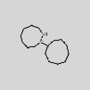 C1CCCC[C]([N+]2CCCCCCCN2)CCC1